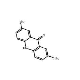 CC(C)(C)c1ccc2[nH]c3ccc(C(C)(C)C)cc3c(=O)c2c1